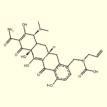 C=CCN(Cc1ccc(O)c2c1C[C@H]1CC3[C@H](N(C)C)C(O)=C(C(N)=O)C(=O)[C@@]3(O)C(O)=C1C2=O)C(=O)O